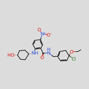 CCOC1(Cl)C=CC(CNC(=O)c2cc([N+](=O)[O-])ccc2N[C@H]2CC[C@@H](O)CC2)=CC1